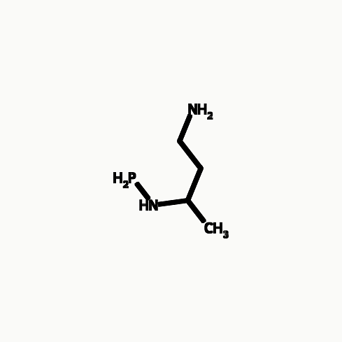 CC(CCN)NP